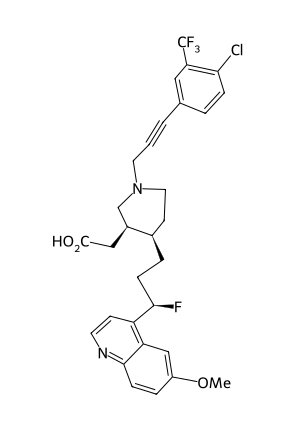 COc1ccc2nccc([C@H](F)CC[C@@H]3CCN(CC#Cc4ccc(Cl)c(C(F)(F)F)c4)C[C@@H]3CC(=O)O)c2c1